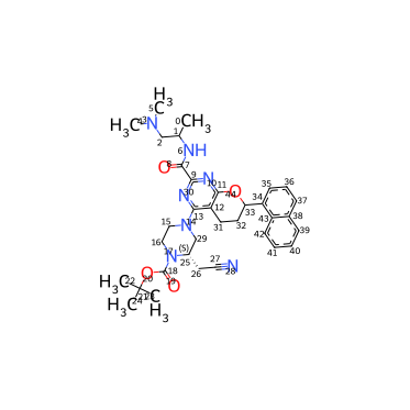 CC(CN(C)C)NC(=O)c1nc2c(c(N3CCN(C(=O)OC(C)(C)C)[C@@H](CC#N)C3)n1)CCC(c1cccc3ccccc13)O2